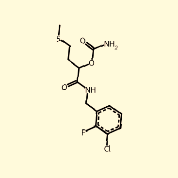 CSCCC(OC(N)=O)C(=O)NCc1cccc(Cl)c1F